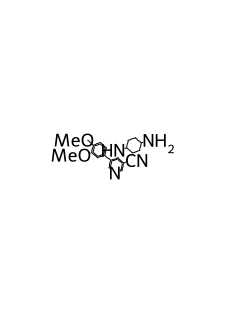 COc1ccc(-c2cncc(C#N)c2NC2CCC(N)CC2)cc1OC